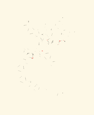 CCn1nc(C)cc1C(=O)Nc1nc2cc(C(N)=O)cc(OC)c2n1C/C=C/Cn1c(NC(=O)c2cc(C)nn2CC)nc2cc(C(N)=O)cc(OCCCNC(=O)[C@H](CC(=O)O)NC(=O)[C@H](CC(=O)O)NC(=O)[C@H](CC(=O)O)NC(=O)[C@H](CC(=O)O)NC(=O)[C@H](CC(=O)O)NC(=O)CCCN3CCc4c(nc(C(=O)Nc5cccc(-c6cccc(NC(=O)c7nc8c(n7C)CCN(CCCC(=O)O)C8)c6Cl)c5Cl)n4C)C3)c21